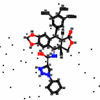 COc1cc([C@@H]2c3cc4c(cc3[C@@H](NC(O)c3cn(-c5ccccc5)nn3)[C@H]3COC(=O)[C@H]23)OCO4)cc(OC)c1OC